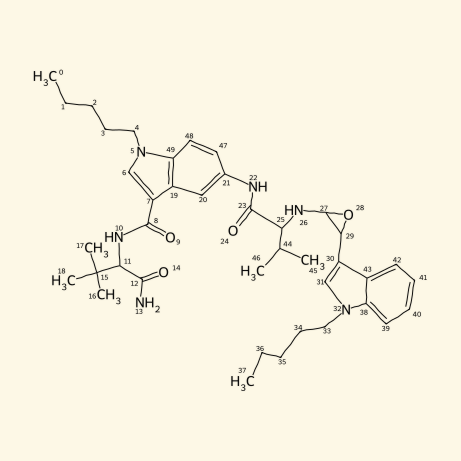 CCCCCn1cc(C(=O)NC(C(N)=O)C(C)(C)C)c2cc(NC(=O)C(NC3OC3c3cn(CCCCC)c4ccccc34)C(C)C)ccc21